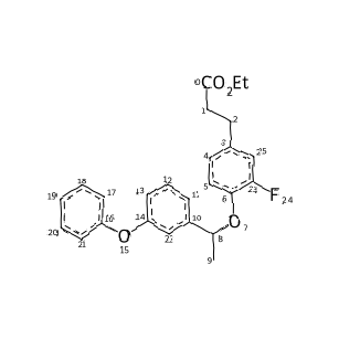 CCOC(=O)CCc1ccc(OC(C)c2cccc(Oc3ccccc3)c2)c(F)c1